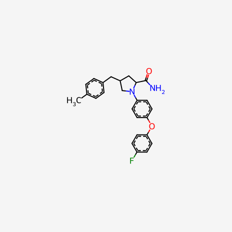 Cc1ccc(CC2CC(C(N)=O)N(c3ccc(Oc4ccc(F)cc4)cc3)C2)cc1